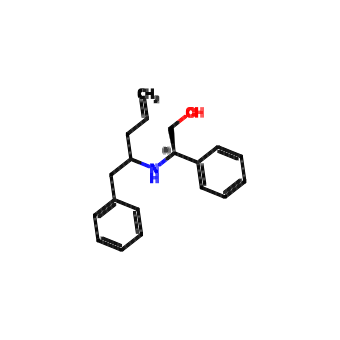 C=CCC(Cc1ccccc1)N[C@@H](CO)c1ccccc1